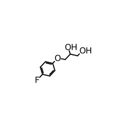 OCC(O)COc1ccc(F)cc1